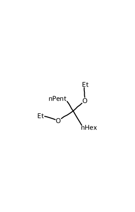 CCCCCCC(CCCCC)(OCC)OCC